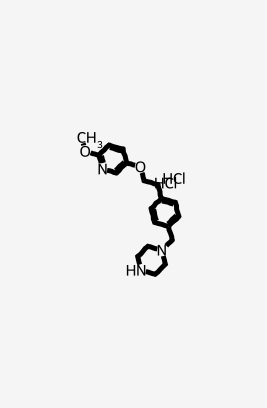 COc1ccc(OCCc2ccc(CN3CCNCC3)cc2)cn1.Cl.Cl